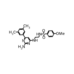 COc1ccc(S(=O)(=O)NCCNc2cc(-c3cc(C)cc(C)c3)nc(N)n2)cc1